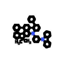 CC1(C)c2ccccc2-c2ccc(N(c3cccc(-n4c5ccccc5c5ccccc54)c3)c3cccc(-c4ccccc4)c3-c3ccc(-c4ccccc4)cc3)cc21